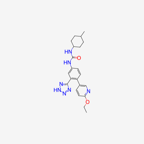 CCOc1ccc(-c2ccc(NC(=O)NC3CCC(C)CC3)cc2-c2nn[nH]n2)cn1